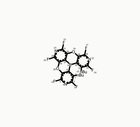 CCCCc1c(F)nc(F)c2c1B1c3c(CCCC)c(F)nc(F)c3Oc3c(F)nc(F)c(c31)O2